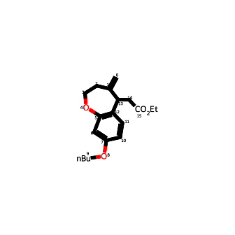 C=C1CCOc2cc(OCCCC)ccc2C1CC(=O)OCC